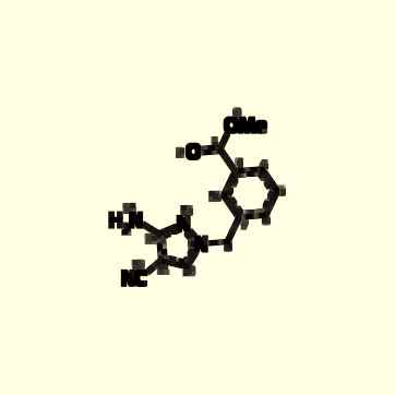 COC(=O)c1cccc(Cn2cc(C#N)c(N)n2)c1